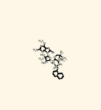 COc1nc(N)nc2c1nc(Br)n2[C@@H]1O[C@H](COP(=O)(N[C@@H](C)C(=O)OCC(C)(C)C)Oc2cccc3ccccc23)[C@@H](O)[C@@]1(C)O